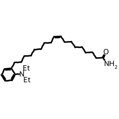 CCN(CC)c1ccccc1CCCCCCCC/C=C\CCCCCCCC(N)=O